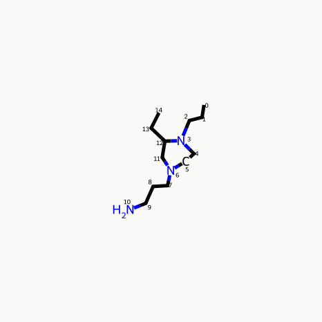 CCCN1CCN(CCCN)CC1CC